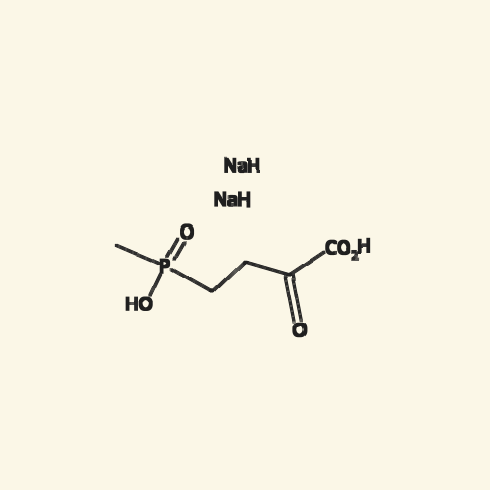 CP(=O)(O)CCC(=O)C(=O)O.[NaH].[NaH]